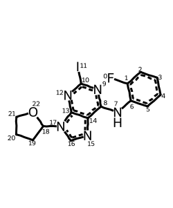 Fc1ccccc1Nc1nc(I)nc2c1ncn2C1CCCO1